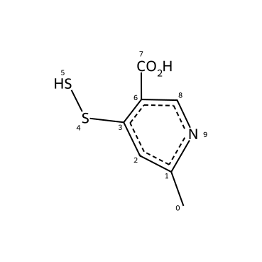 Cc1cc(SS)c(C(=O)O)cn1